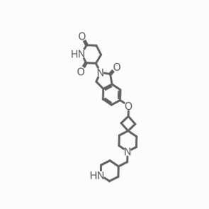 O=C1CCC(N2Cc3ccc(OC4CC5(CCN(CC6CCNCC6)CC5)C4)cc3C2=O)C(=O)N1